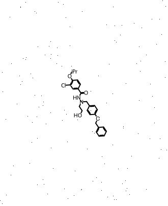 CC(C)Oc1ccc(C(=O)NN(CCO)Cc2ccc(OCc3ccccc3)cc2)cc1Cl